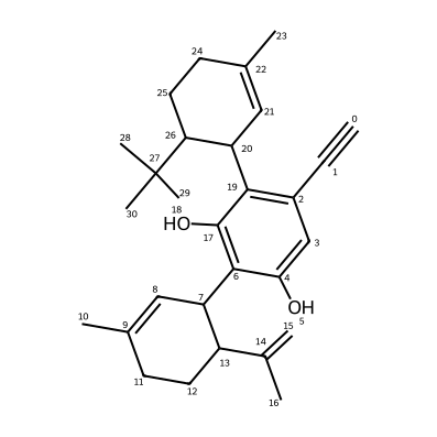 C#Cc1cc(O)c(C2C=C(C)CCC2C(=C)C)c(O)c1C1C=C(C)CCC1C(C)(C)C